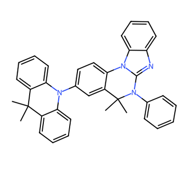 CC1(C)c2ccccc2N(c2ccc3c(c2)C(C)(C)N(c2ccccc2)c2nc4ccccc4n2-3)c2ccccc21